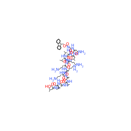 CC[C@H](C)[C@H](NC(=O)[C@H](C)NC(=O)[C@@H](NC(=O)[C@H](C)NC(=O)[C@H](CCCCN)NC(=O)[C@H](CCCCN)NC(=O)[C@H](CCCCN)NC(=O)[C@H](CCCCN)NC(=O)[C@H](CC(C)C)NC(=O)[C@H](CC(C)C)NC(=O)[C@H](CC(C)C)NC(=O)[C@H](CC(N)=O)NC(=O)CNC(=O)OCC1c2ccccc2-c2ccccc21)C(C)C)C(=O)N[C@@H](CC(C)C)C(=O)O